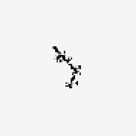 CCCNC(CCC(=O)NCC[C@H](O)C(=O)SCCNC(C)=O)C(=O)O